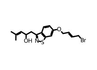 CC(C)=CC(O)Cc1nsc2cc(OCC=CCBr)ccc12